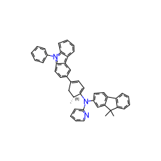 C[C@@H]1CC(c2ccc3c(c2)c2ccccc2n3-c2ccccc2)=CC=C1N(c1ccc2c(c1)C(C)(C)c1ccccc1-2)c1ccccn1